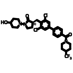 O=C(c1ccc(-c2cc(Cl)c(C[C@H]3CCN(N4CCC(O)CC4)C3=O)c(Cl)c2)cc1)N1CCC(C(F)(F)F)CC1